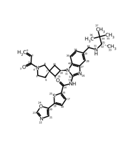 C=CC(=O)N1CC[C@]2(C1)C[C@H](n1c(NC(=O)c3ccc(-c4cnco4)s3)nc3cc(CN[C@@H](C)C(C)(C)C)ccc31)C2